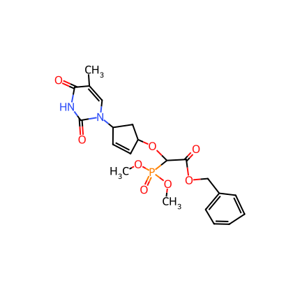 COP(=O)(OC)C(OC1C=CC(n2cc(C)c(=O)[nH]c2=O)C1)C(=O)OCc1ccccc1